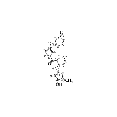 [CH2][C@@H]1C[C@@H](Nc2ccncc2C(=O)c2ccn(Cc3cccc(Cl)c3)c2)[C@@H](F)[C@@H]1O